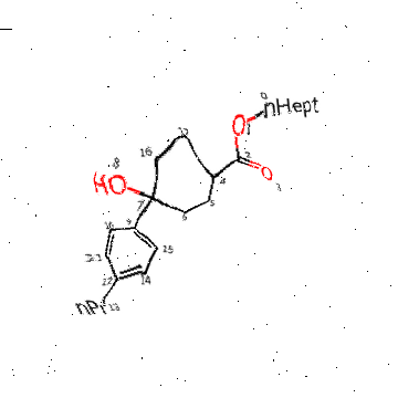 CCCCCCCOC(=O)C1CCC(O)(c2ccc(CCC)cc2)CC1